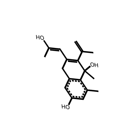 C=C(C)C1=C(/C=C(\C)O)Cc2cc(O)cc(C)c2C1(C)O